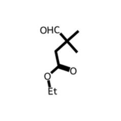 CCOC(=O)CC(C)(C)C=O